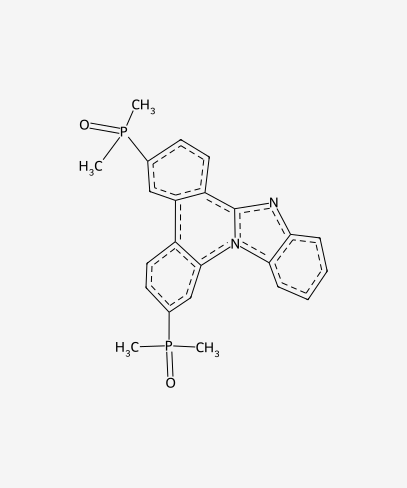 CP(C)(=O)c1ccc2c(c1)c1ccc(P(C)(C)=O)cc1n1c3ccccc3nc21